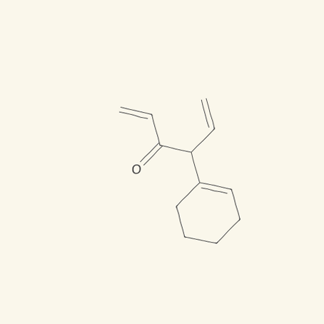 C=CC(=O)C(C=C)C1=CCCCC1